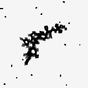 CS(=O)(=O)CCNC(=O)c1ccc2c(n1)CCC1C2=NN(c2ccc(C#N)c(Cl)c2)C1C1CCCC1